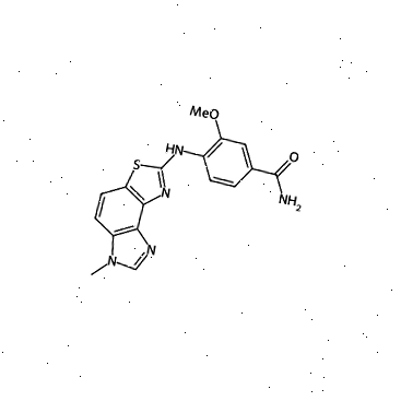 COc1cc(C(N)=O)ccc1Nc1nc2c(ccc3c2ncn3C)s1